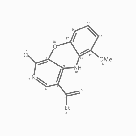 C=C(CC)c1cnc(Cl)c2c1Nc1c(OC)cccc1O2